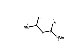 CNC(CC(C)C(C)(C)C)C(C)C